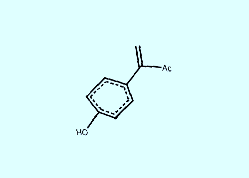 C=C(C(C)=O)c1ccc(O)cc1